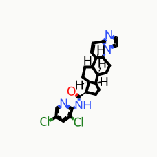 O=C(Nc1ncc(Cl)cc1Cl)[C@@H]1CC[C@H]2[C@@H]3CCC4[C@H](C=Cc5nccn54)[C@H]3CC[C@@H]21